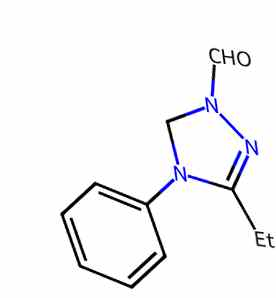 CCC1=NN(C=O)CN1c1ccccc1